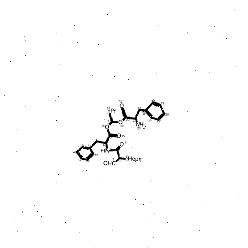 CCCCCCCC(C=O)C(=O)NC(Cc1ccccc1)C(=O)OC(CCC)OC(=O)C(N)Cc1ccccc1